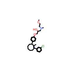 COCCN(C)CC(O)COc1ccc(C2CCCCC/C(c3cccc(Cl)c3)=C\2C)cc1